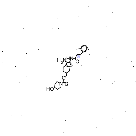 Cc1ccncc1/C=C/C(=O)Nc1sc2c(c1N)CCC(COC(=O)N1CCC(O)CC1)C2